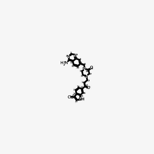 Nc1ncnc2cc(CN3CCN(CCC(=O)c4ccc5c(Cl)c[nH]c5c4)CC3=O)ccc12